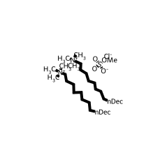 CCCCCCCCCCCCCCCCCC[N+](C)(C)C.CCCCCCCCCCCCCCCCCC[N+](C)(C)C.COS(=O)(=O)[O-].[Cl-]